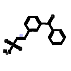 NS(=O)(=O)/C=C/c1cccc(C(=O)c2ccccc2)c1